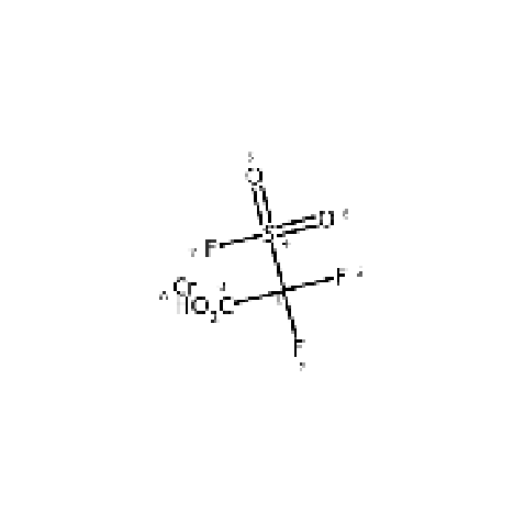 O=C(O)C(F)(F)S(=O)(=O)F.[Cr]